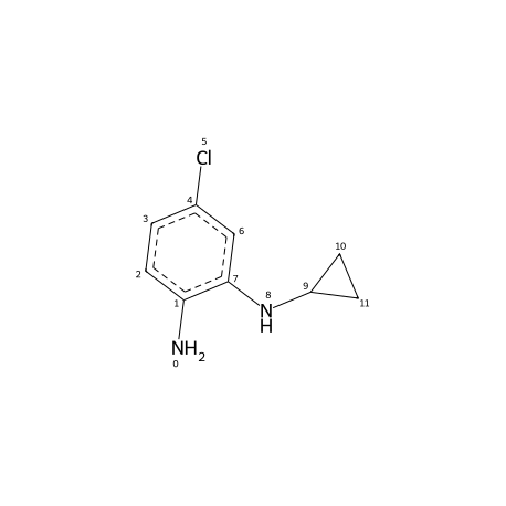 Nc1ccc(Cl)cc1NC1CC1